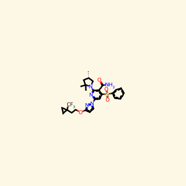 C[C@@H]1CN(c2nc(-n3ccc(OCCC4(C(F)(F)F)CC4)n3)cc(S(=O)(=O)c3ccccc3)c2C(N)=O)C(C)(C)C1